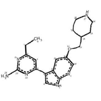 CCc1cc(-c2c[nH]c3ncc(OCC4CCNCC4)cc23)nc(N)n1